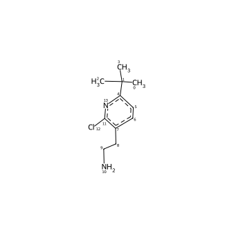 CC(C)(C)c1ccc(CCN)c(Cl)n1